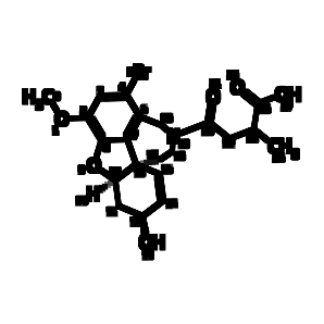 COc1cc(Br)c2c3c1O[C@@H]1C[C@H](O)C=C[C@]31CCN(C(=O)CC(C)C(=O)O)C2